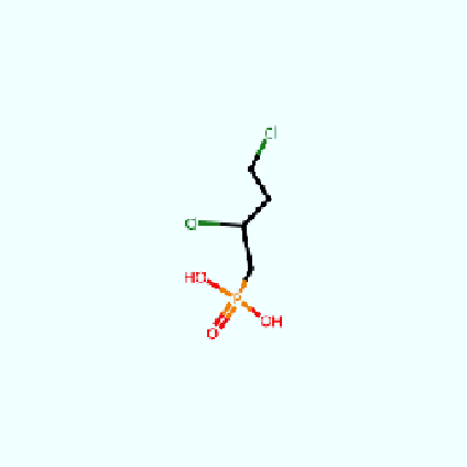 O=P(O)(O)CC(Cl)CCCl